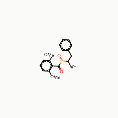 CCCC(Cc1ccccc1)[P](=O)C(=O)c1c(OC)cccc1OC